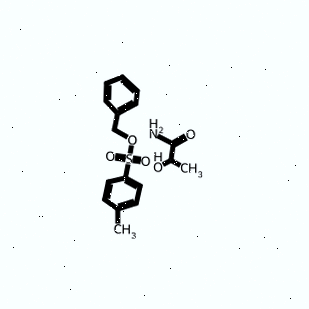 CC(O)C(N)=O.Cc1ccc(S(=O)(=O)OCc2ccccc2)cc1